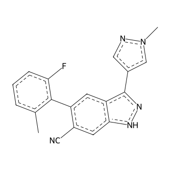 Cc1cccc(F)c1-c1cc2c(-c3cnn(C)c3)n[nH]c2cc1C#N